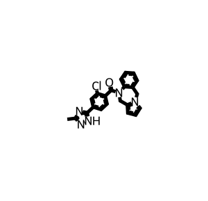 Cc1n[nH]c(-c2ccc(C(=O)N3Cc4cccn4Cc4ccccc43)c(Cl)c2)n1